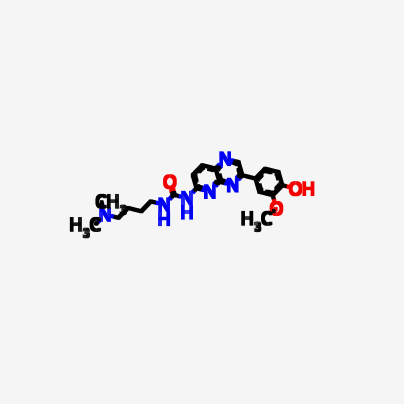 COc1cc(-c2cnc3ccc(NC(=O)NCCCCN(C)C)nc3n2)ccc1O